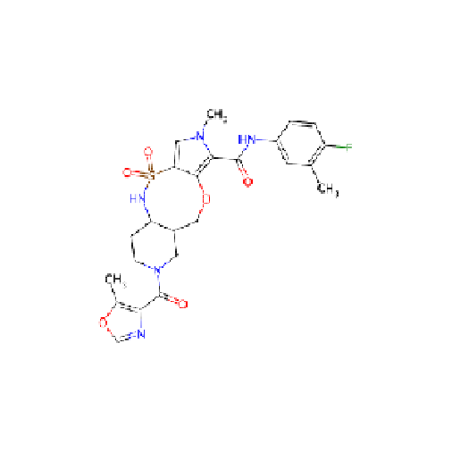 Cc1cc(NC(=O)c2c3c(cn2C)S(=O)(=O)NC2CCN(C(=O)c4ncoc4C)CC2CO3)ccc1F